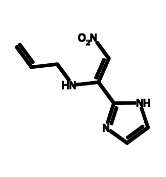 C=CCNC(=C[N+](=O)[O-])c1ncc[nH]1